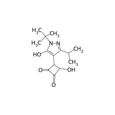 CC(C)c1nn(C(C)(C)C)c(O)c1C1C(=O)C(=O)C1O